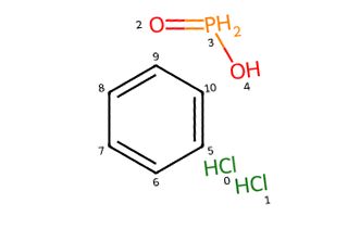 Cl.Cl.O=[PH2]O.c1ccccc1